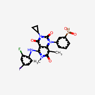 Cc1c(=O)n(C)c(Nc2ccc(I)cc2F)c2c(=O)n(C3CC3)c(=O)n(-c3cccc([SH](=O)=O)c3)c12